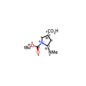 CN[C@@H]1C[C@@H](C(=O)O)CN1C(=O)OC(C)(C)C